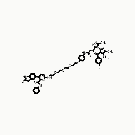 Cc1sc2c(c1C)C(c1ccc(Cl)cc1)=N[C@@H](CC(=O)Nc1ccc(OCCOCCOCCOCCNc3ccc(-c4ccc5c(c4)CC(=O)N5)c(C(=O)Nc4ccccc4)n3)cc1)c1nnc(C)n1-2